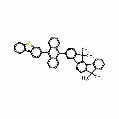 CC1(C)c2ccccc2-c2c1ccc1c2C(C)(C)c2ccc(-c3c4ccccc4c(-c4ccc5c(c4)sc4ccccc45)c4ccccc34)cc2-1